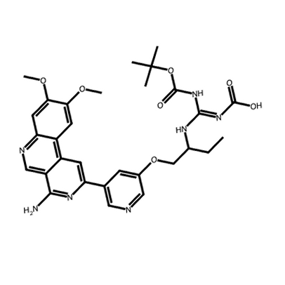 CCC(COc1cncc(-c2cc3c(cnc4cc(OC)c(OC)cc43)c(N)n2)c1)NC(=NC(=O)O)NC(=O)OC(C)(C)C